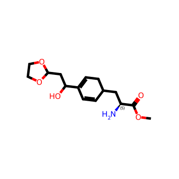 COC(=O)[C@@H](N)CC1C=CC(C(O)CC2OCCO2)=CC1